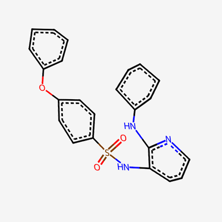 O=S(=O)(Nc1cccnc1Nc1ccccc1)c1ccc(Oc2ccccc2)cc1